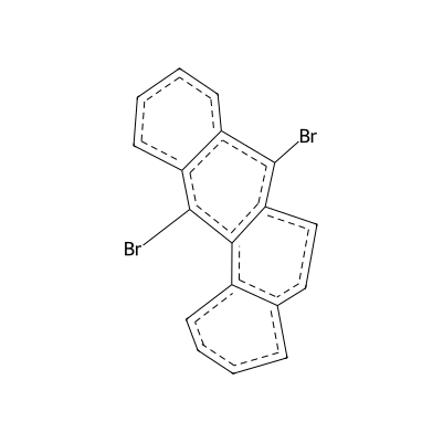 Brc1c2ccccc2c(Br)c2c1ccc1ccccc12